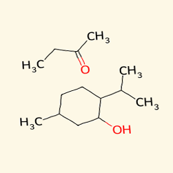 CC1CCC(C(C)C)C(O)C1.CCC(C)=O